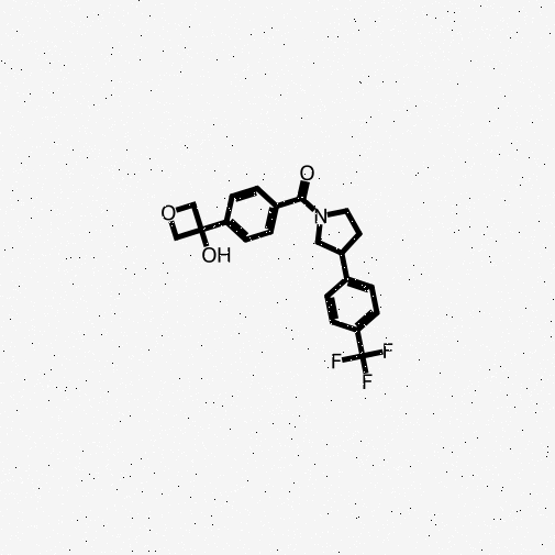 O=C(c1ccc(C2(O)COC2)cc1)N1CCC(c2ccc(C(F)(F)F)cc2)C1